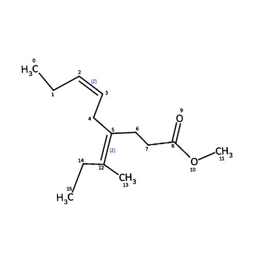 CC/C=C\C/C(CCC(=O)OC)=C(/C)CC